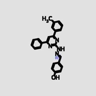 Cc1cccc(-c2cc(-c3ccccc3)nc(N/N=C/c3ccc(O)cc3)n2)c1